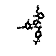 COc1cc(F)c([C@@H]2CN(c3cccn(CCF)c3=O)C(=O)[C@H]2NC(=O)c2ccc(OC(F)F)cc2)c(F)c1